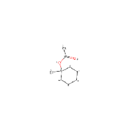 CCC(=O)OC1(CC)CCCCC1